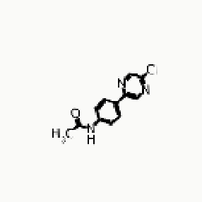 CC(=O)Nc1ccc(-c2cnc(Cl)cn2)cc1